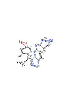 C[C@@H](c1ccc(O)cc1)c1nnc2ccc(Nc3ccncn3)nn12